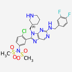 CS(=O)(=O)N(c1ccc(Cl)c(-c2nc3cnc(NCc4ccc(F)c(F)c4)nc3n2C[C@@H]2CCCNC2)c1)S(C)(=O)=O